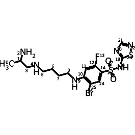 CC(N)CNCCCCNc1cc(F)c(S(=O)(=O)Nc2ncns2)cc1Br